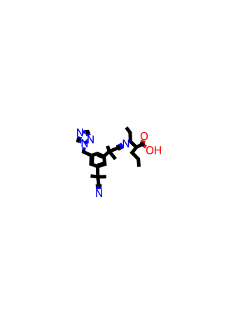 CC(C)(C#N)c1cc(Cn2cncn2)cc(C(C)(C)C#N)c1.CCCC(CCC)C(=O)O